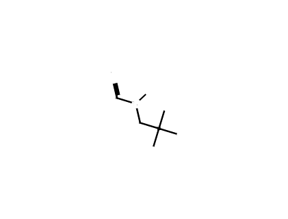 CC(C)(C)CN(O)[C]=O